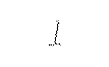 C=C(CCCCCCCCCCCCBr)C(=O)O